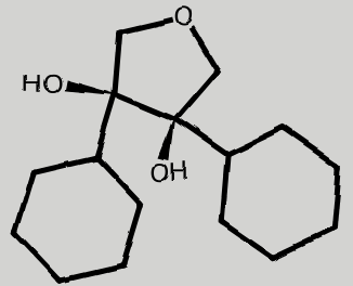 O[C@@]1(C2CCCCC2)COC[C@]1(O)C1CCCCC1